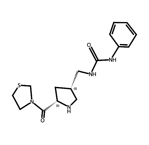 O=C(NC[C@@H]1CN[C@H](C(=O)N2CCSC2)C1)Nc1ccccc1